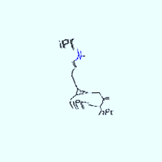 C=C(CC1=C(CC=CN(C)C(C)C)C1C)C(CCC)CCC